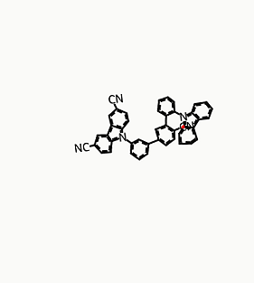 N#Cc1ccc2c(c1)c1cc(C#N)ccc1n2-c1cccc(-c2ccc(C#N)c(-c3ccccc3-n3c4ccccc4c4ccccc43)c2)c1